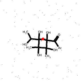 CC(=O)C(=O)C(C)(O)C(C)(O)C(C)(O)C(O)(C(C)=O)C(C)O